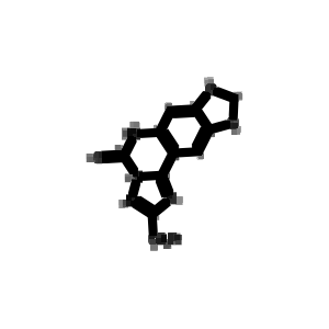 CCOC(=O)c1nc2c3cc4c(cc3[nH]c(=O)n2n1)OCO4